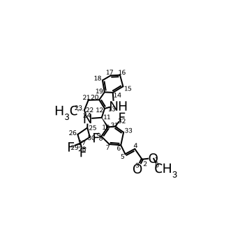 COC(=O)/C=C/c1cc(F)c([C@@H]2c3[nH]c4ccccc4c3C[C@@H](C)N2C2CC(F)(F)C2)c(F)c1